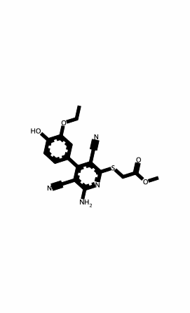 CCOc1cc(-c2c(C#N)c(N)nc(SCC(=O)OC)c2C#N)ccc1O